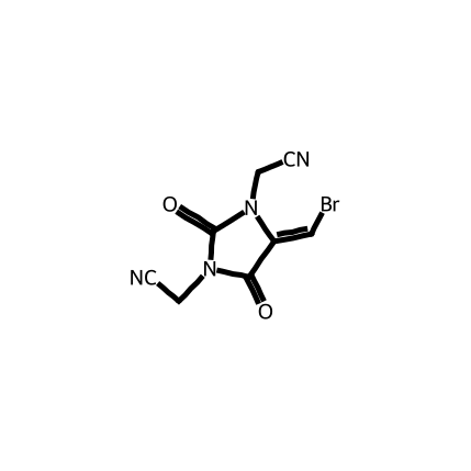 N#CCN1C(=O)C(=CBr)N(CC#N)C1=O